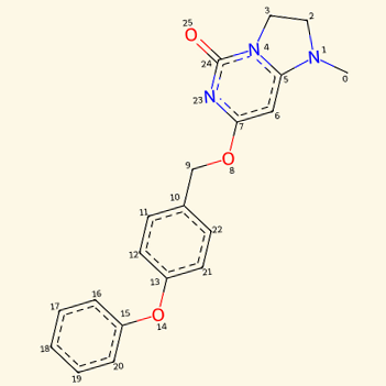 CN1CCn2c1cc(OCc1ccc(Oc3ccccc3)cc1)nc2=O